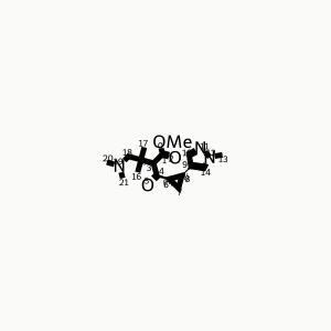 COC(=O)C(C(=O)[C@@H]1C[C@H]1c1cnn(C)c1)C(C)(C)CN(C)C